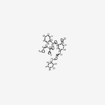 COC=C(C(=O)OC)c1ccccc1COc1cc(C=NOCc2ccccc2)ccc1OC